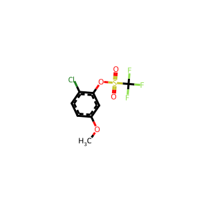 COc1ccc(Cl)c(OS(=O)(=O)C(F)(F)F)c1